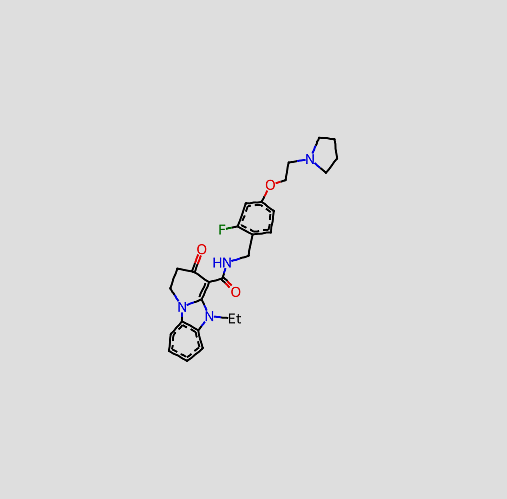 CCN1C2=C(C(=O)NCc3ccc(OCCN4CCCC4)cc3F)C(=O)CCN2c2ccccc21